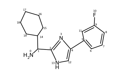 NC(c1nc(-c2cccc(F)c2)c[nH]1)C1CCCCC1